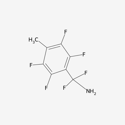 Cc1c(F)c(F)c(C(N)(F)F)c(F)c1F